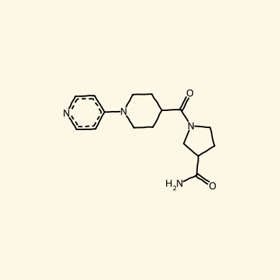 NC(=O)C1CCN(C(=O)C2CCN(c3ccncc3)CC2)C1